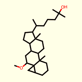 COC1CC2C3CCC(C(C)CCCC(C)(C)O)C3(C)CCC2C2(C)CCCC3CC312